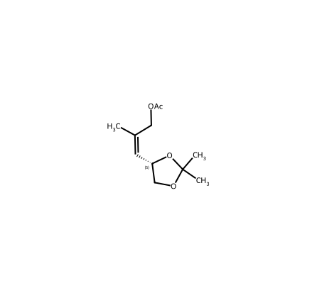 CC(=O)OCC(C)=C[C@H]1COC(C)(C)O1